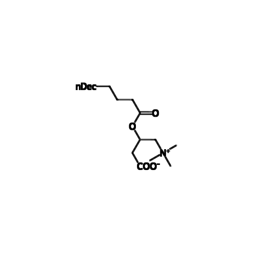 CCCCCCCCCCCCCC(=O)OC(CC(=O)[O-])C[N+](C)(C)C